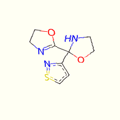 c1cc(C2(C3=NCCO3)NCCO2)ns1